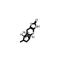 CC1CC2C[C@H]1[C@H]1Cc3sc(=O)[nH]c3S[C@@H]21